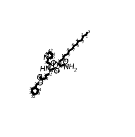 CCCCCCCCCCCCC[C@@H](CC(N)=O)OC(=O)[C@H](CCCC(=O)OCc1ccccc1)NC(=O)Cc1ccccn1